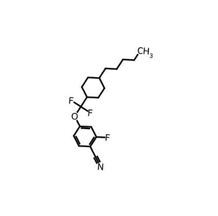 CCCCCC1CCC(C(F)(F)Oc2ccc(C#N)c(F)c2)CC1